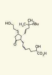 CCCCC(C)(C)C/C=C/[C@H]1[C@@H](SCCO)CC(=O)[C@@H]1C/C=C\CCC(O)C(=O)O